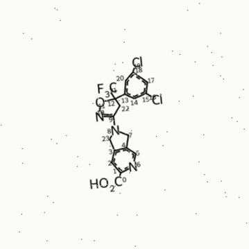 O=C(O)c1cc2c(cn1)CN(C1=NOC(c3cc(Cl)cc(Cl)c3)(C(F)(F)F)C1)C2